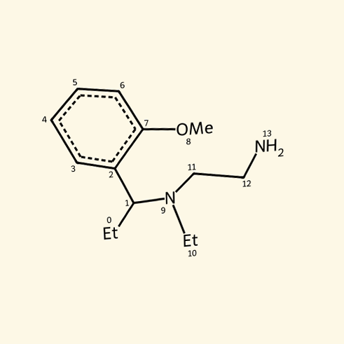 CCC(c1ccccc1OC)N(CC)CCN